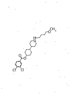 COCCCCC[SiH]1CCC(C2CCC(OC(=O)c3ccc(Cl)c(Cl)c3)CC2)CC1